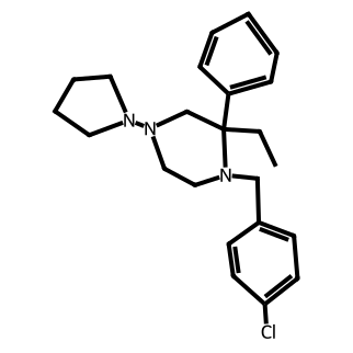 CCC1(c2ccccc2)CN(N2CCCC2)CCN1Cc1ccc(Cl)cc1